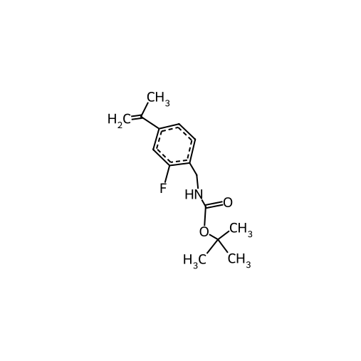 C=C(C)c1ccc(CNC(=O)OC(C)(C)C)c(F)c1